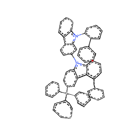 c1ccc(-c2ccccc2-n2c3ccccc3c3ccc(-n4c5ccc([Si](c6ccccc6)(c6ccccc6)c6ccccc6)cc5c5c(-c6ccccc6)cccc54)cc32)cc1